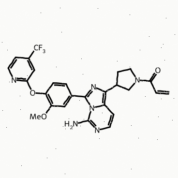 C=CC(=O)N1CCC(c2nc(-c3ccc(Oc4cc(C(F)(F)F)ccn4)c(OC)c3)n3c(N)nccc23)C1